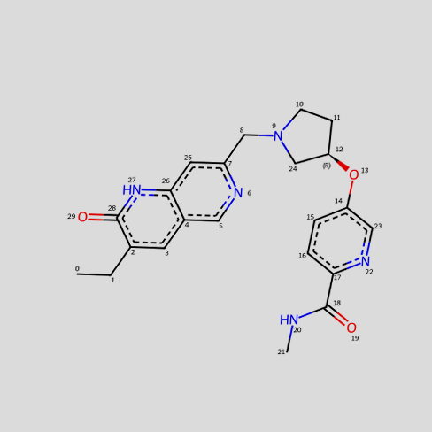 CCc1cc2cnc(CN3CC[C@@H](Oc4ccc(C(=O)NC)nc4)C3)cc2[nH]c1=O